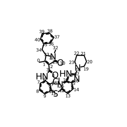 CC1=C(C(=O)Nc2cccc(Sc3ccc4nc(N5CCCCC5)[nH]c4n3)c2Cl)C(=O)N(C)C1Cc1ccccc1